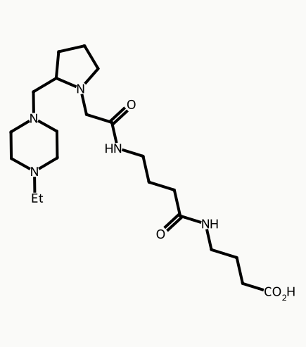 CCN1CCN(CC2CCCN2CC(=O)NCCCC(=O)NCCCC(=O)O)CC1